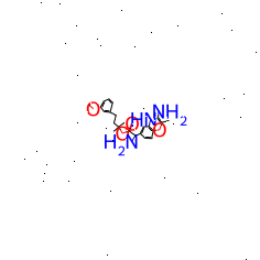 COc1cccc(CCC(C)(C)OC(=O)C(N)c2ccc3c(c2)NC(N)=C(C)O3)c1